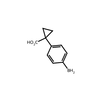 Bc1ccc(C2(C(=O)O)CC2)cc1